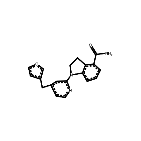 NC(=O)c1cccc2c1CCN2c1cc(Cc2ccoc2)ccn1